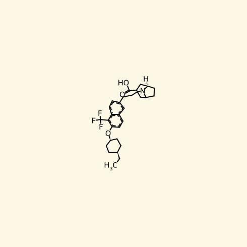 CC[C@H]1CC[C@@H](Oc2ccc3cc(CCCN4C5CC[C@@H]4CC(C(=O)O)C5)ccc3c2C(F)(F)F)CC1